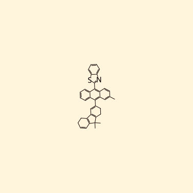 Cc1ccc2c(-c3nc4ccccc4s3)c3ccccc3c(C3=CC4=C(CC3)C(C)(C)C3=C4CCC=C3)c2c1